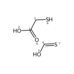 O=C(O)CS.OC=S